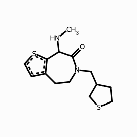 CNC1C(=O)N(CC2CCSC2)CCc2ccsc21